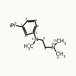 CC(C)c1cccc(N(C)CCN(C)C)c1